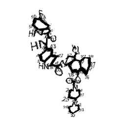 O=C(Nc1ccc2[nH]c(C(=O)N3CC(CCl)c4c3cc(OC(=O)N3CCC(N5CCCCC5)CC3)c3ccccc43)cc2c1)c1cc2cc(F)ccc2[nH]1